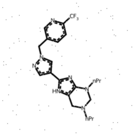 CCCN1Cc2[nH]c(-c3cnn(Cc4ccc(C(F)(F)F)nc4)c3)nc2N(CCC)C1